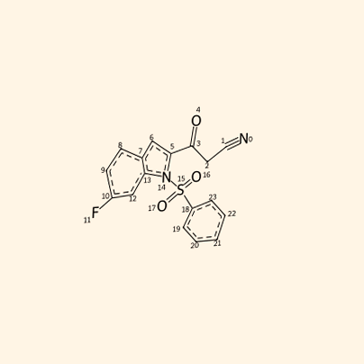 N#CCC(=O)c1cc2ccc(F)cc2n1S(=O)(=O)c1ccccc1